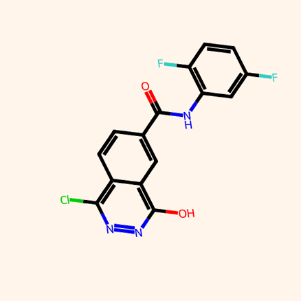 O=C(Nc1cc(F)ccc1F)c1ccc2c(Cl)nnc(O)c2c1